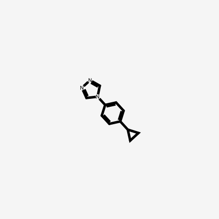 c1cc(-n2cnnc2)ccc1C1CC1